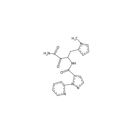 Cn1cccc1CC(NC(=O)c1ccnn1-c1ccccn1)C(=O)C(N)=O